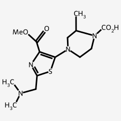 COC(=O)c1nc(CN(C)C)sc1N1CCN(C(=O)O)C(C)C1